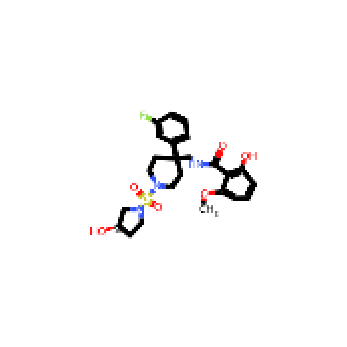 COc1cccc(O)c1C(=O)NCC1(c2cccc(F)c2)CCN(S(=O)(=O)N2CC[C@@H](O)C2)CC1